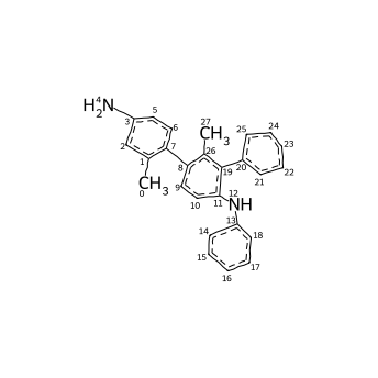 Cc1cc(N)ccc1-c1ccc(Nc2ccccc2)c(-c2ccccc2)c1C